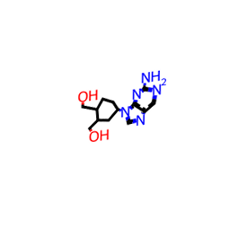 Nc1ncc2ncn(C3CCC(CO)C(CO)C3)c2n1